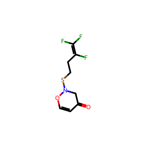 O=C1C=CON(SCCC(F)=C(F)F)C1